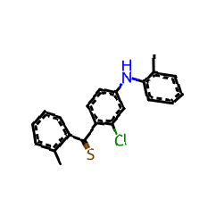 Cc1ccccc1Nc1ccc(C(=S)c2ccccc2C)c(Cl)c1